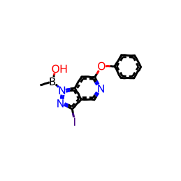 CB(O)n1nc(I)c2cnc(Oc3ccccc3)cc21